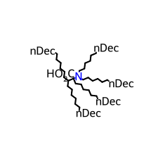 CCCCCCCCCCCCCCCCC(CCCCCCCCCCCCCCCC)C(CCCCCCCCCCCCCCCC)(C(=O)O)N(CCCCCCCCCCCCCCCC)CCCCCCCCCCCCCCCC